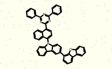 c1ccc(-c2nc(-c3ccccc3)nc(-c3ccc(-n4c5ccccc5c5cc(-c6cccc7c6oc6ccccc67)ccc54)c4ccccc34)n2)cc1